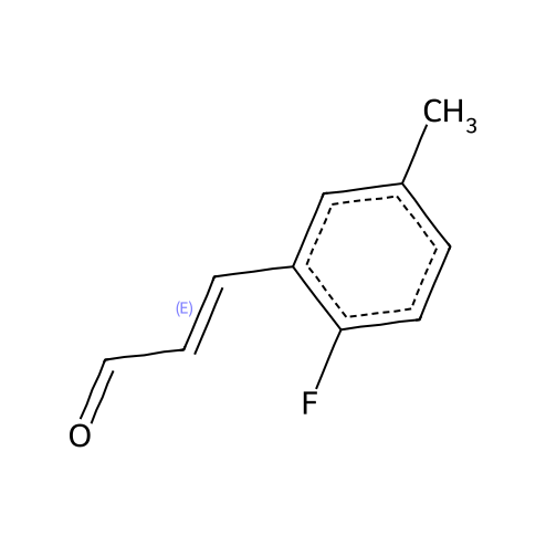 Cc1ccc(F)c(/C=C/C=O)c1